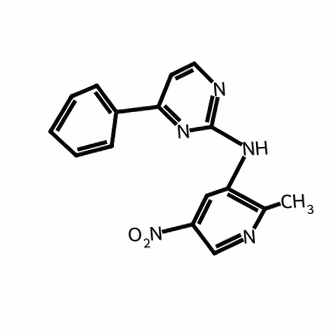 Cc1ncc([N+](=O)[O-])cc1Nc1nccc(-c2ccccc2)n1